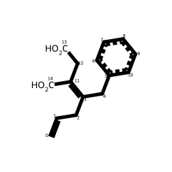 C=CCC(Cc1ccccc1)=C(CC(=O)O)C(=O)O